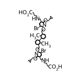 Cc1c(COc2nc(OCC3CC3)c(CNCCCC(=O)O)cc2Br)cccc1-c1cccc(COc2nc(OCC3CC3)c(CNCCCC(=O)O)cc2Br)c1C